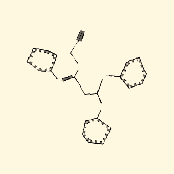 C#CCSC(CC(Sc1ccccc1)Sc1ccccc1)=Nc1ccccc1